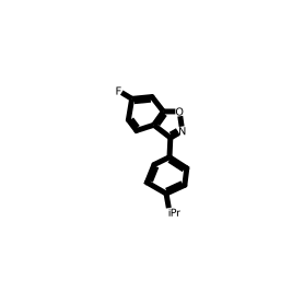 CC(C)c1ccc(-c2noc3cc(F)ccc23)cc1